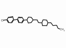 CCCCCC1CCC(CCC2CCC(c3ccc(-c4ccc(Cl)cc4)cc3)CC2)CC1